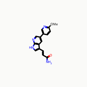 COc1ccc(-c2cnc3[nH]cc(C=CC(N)=O)c3c2)cn1